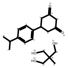 CC(C)c1ccc(C2CC(=O)CC(=O)C2)cc1.CC(CO)(CO)CO